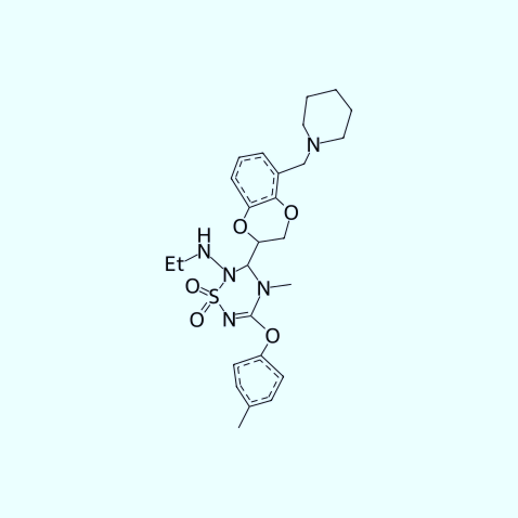 CCNN1C(C2COc3c(CN4CCCCC4)cccc3O2)N(C)C(Oc2ccc(C)cc2)=NS1(=O)=O